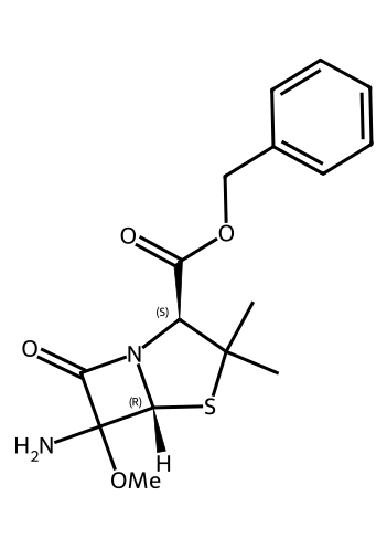 COC1(N)C(=O)N2[C@@H](C(=O)OCc3ccccc3)C(C)(C)S[C@@H]21